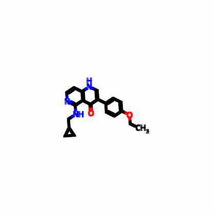 CCOc1ccc(-c2c[nH]c3ccnc(NCC4CC4)c3c2=O)cc1